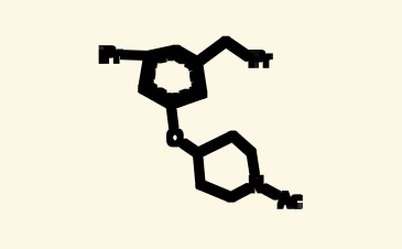 CC(=O)N1CCC(Oc2cc(CC(C)C)cc(C(C)C)c2)CC1